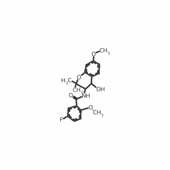 COc1ccc2c(c1)OC(C)(C)C(NC(=O)c1cc(F)ccc1OC)C2O